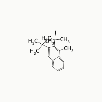 Cc1c(C(C)(C)I)c(C(C)(C)C)cc2ccccc12